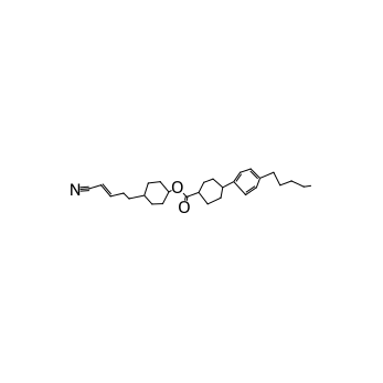 CCCCCc1ccc(C2CCC(C(=O)OC3CCC(CC/C=C/C#N)CC3)CC2)cc1